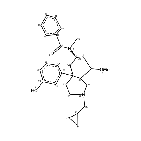 COC1C[C@H](N(C)C(=O)c2ccccc2)CC2(c3cccc(O)c3)CCN(CC3CC3)CC12